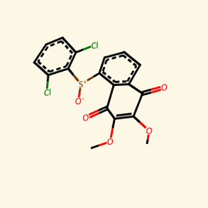 COC1=C(OC)C(=O)c2c(cccc2[S+]([O-])c2c(Cl)cccc2Cl)C1=O